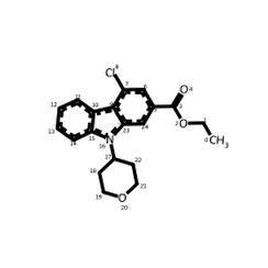 CCOC(=O)c1cc(Cl)c2c3ccccc3n(C3CCOCC3)c2c1